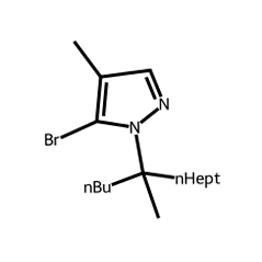 CCCCCCCC(C)(CCCC)n1ncc(C)c1Br